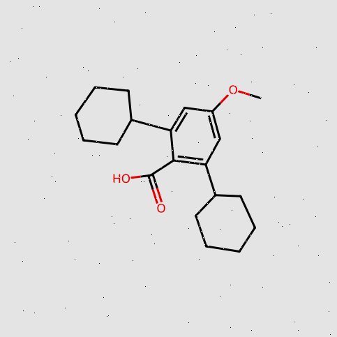 COc1cc(C2CCCCC2)c(C(=O)O)c(C2CCCCC2)c1